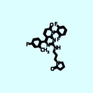 Cc1cc(F)ccc1-c1nc(NCCCN2CCCC2=O)nc2c1ccc(=O)n2-c1c(F)cccc1F